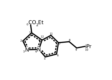 CCOC(=O)c1cnn2ccc(CCC(C)C)cc12